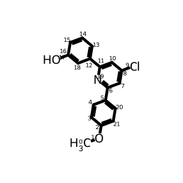 COc1ccc(-c2cc(Cl)cc(-c3cccc(O)c3)n2)cc1